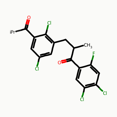 CC(C)C(=O)c1cc(Cl)cc(CC(C)C(=O)c2cc(Cl)c(Cl)cc2F)c1Cl